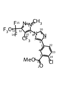 COC(=O)c1cc(-c2cn(-c3c(C(F)(F)F)c(C(F)(F)C(F)(F)F)nn3C)cn2)ccc1Cl